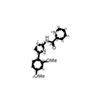 COc1ccc(-c2csc(NC(=O)c3ccccn3)n2)c(OC)c1